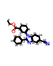 CCOC(=O)c1cccc(-n2c(-c3ccccc3)nc3cc(C#N)ccc32)c1